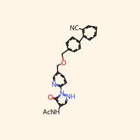 CC(=O)Nc1c[nH]n(-c2ccc(COCc3ccc(-c4ccccc4C#N)cc3)cn2)c1=O